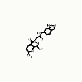 CC(C)c1nn(CC(=O)Nc2ccc3cn[nH]c3c2)c(=O)c2ccc(C(F)(F)F)nc12